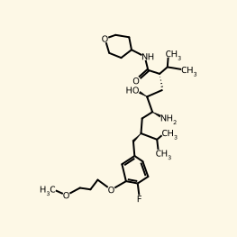 COCCCOc1cc(C[C@@H](C[C@H](N)[C@@H](O)C[C@H](C(=O)NC2CCOCC2)C(C)C)C(C)C)ccc1F